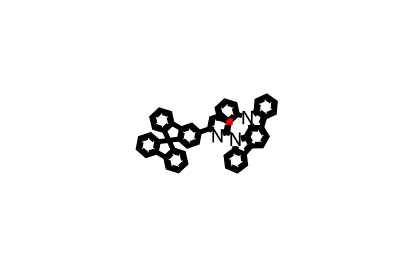 c1ccc(-n2c3ccccc3c3ccc4c5ccccc5n(-c5cccc(-c6ccc7c(c6)-c6ccccc6C76c7ccccc7-c7ccccc76)n5)c4c32)cc1